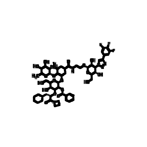 CC1CC(C(=O)NCCO[C@H]2OC(CO)[C@@H](O)C(n3cc(-c4cc(F)c(F)c(F)c4)nn3)C2O)C[C@@H](O[C@@H]2OC(CO)[C@H](O)C(O[C@@H](CC3CCCCC3)C(=O)N3CCC3)C2OC(=O)c2ccccc2)C1O[C@@H]1OC(C)[C@@H](O)C(O)C1O